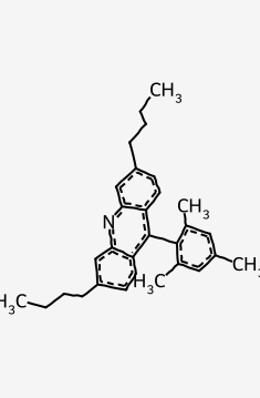 CCCCc1ccc2c(-c3c(C)cc(C)cc3C)c3ccc(CCCC)cc3nc2c1